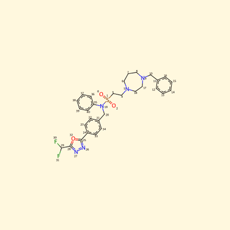 O=S(=O)(CCN1CCCN(Cc2ccccc2)CC1)N(Cc1ccc(-c2nnc(C(F)F)o2)cc1)c1ccccc1